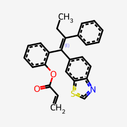 C=CC(=O)Oc1ccccc1/C(=C(\CC)c1ccccc1)c1ccc2ncsc2c1